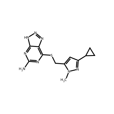 Cn1nc(C2CC2)cc1CSc1nc(N)nc2[nH]nnc12